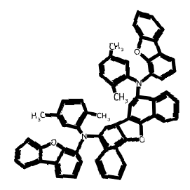 Cc1ccc(C)c(N(c2cc3c4cc(N(c5cc(C)ccc5C)c5cccc6c5oc5ccccc56)c5ccccc5c4oc3c3ccccc23)c2cccc3c2oc2ccccc23)c1